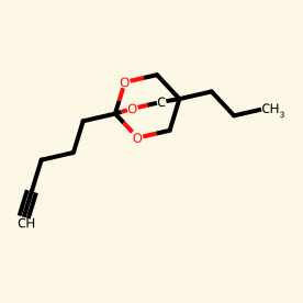 C#CCCCC12OCC(CCC)(CO1)CO2